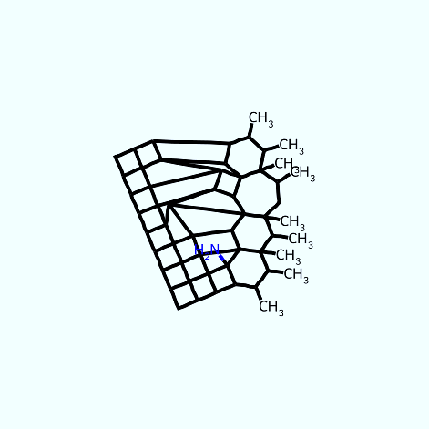 CC1C2C3C4CC5C6C7C8C9C%10C%11CC%12C%13C%14C(C)C(C)C%15(C)C(C)C%16(C)CC(C)C(C)(C1C)C1%17C2C32C45C63C74C85C96C%107C%12%11C%138C%14(N)C%159C%10C%16%11C1C4(C%1723)C%115C%106C987